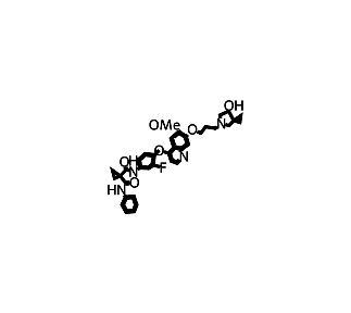 COc1cc2c(Oc3ccc(NC(=O)C4(C(=O)Nc5ccccc5)CC4)cc3F)ccnc2cc1OCCCN1CC(O)C2(CC2)C1